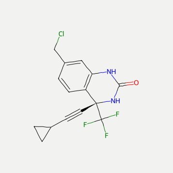 O=C1Nc2cc(CCl)ccc2[C@@](C#CC2CC2)(C(F)(F)F)N1